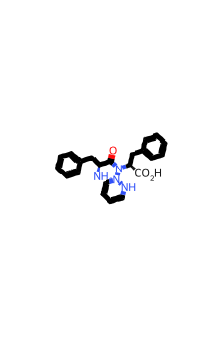 N[C@@H](Cc1ccccc1)C(=O)N([C@@H](Cc1ccccc1)C(=O)O)N1C=CC=CN1